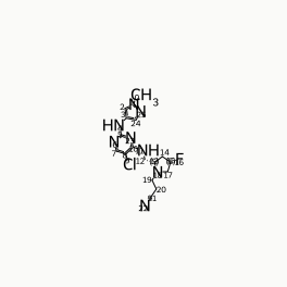 Cn1cc(Nc2ncc(Cl)c(NC[C@@H]3C[C@H](F)CN3CCC#N)n2)cn1